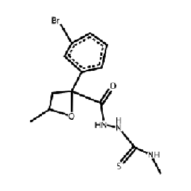 CNC(=S)NNC(=O)C1(c2cccc(Br)c2)CC(C)O1